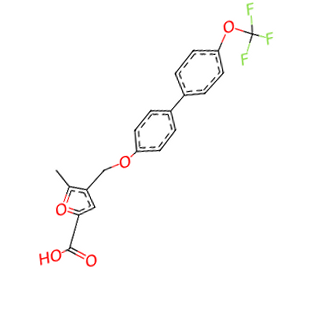 Cc1oc(C(=O)O)cc1COc1ccc(-c2ccc(OC(F)(F)F)cc2)cc1